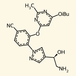 Cc1nc(OCC(C)C)cc(Oc2cc(C#N)ccc2-n2cc([C@@H](O)CN)cn2)n1